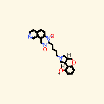 COc1cccc2c1[C@@H]1CN(CCCCC3[N+](=O)Cc4c(ccc5ccncc45)[N+]3=O)C[C@@H]1CO2